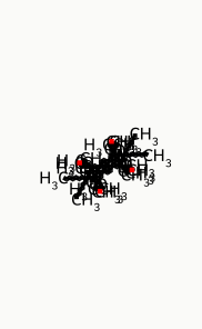 CCCCCCCC(CCCCCCC)N1C(=O)c2c(B3OC(C)(C)C(C)(C)O3)cc3c4ccc5c6cc(B7OC(C)(C)C(C)(C)O7)c7c8c(c(B9OC(C)(C)C(C)(C)O9)cc(c9ccc(c%10cc(B%11OC(C)(C)C(C)(C)O%11)c(c2c3%10)C1=O)c4c59)c86)C(=O)N(C(CCCCCCC)CCCCCCC)C7=O